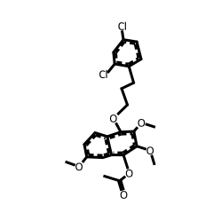 COc1ccc2c(OCCCc3ccc(Cl)cc3Cl)c(OC)c(OC)c(OC(C)=O)c2c1